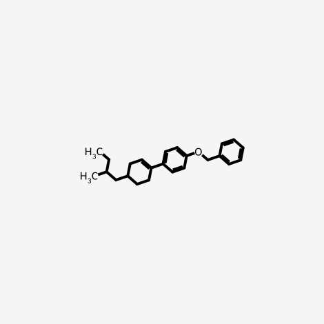 CCC(C)CC1CC=C(c2ccc(OCc3ccccc3)cc2)CC1